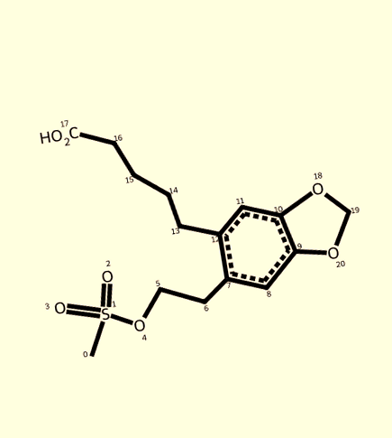 CS(=O)(=O)OCCc1cc2c(cc1CCCCC(=O)O)OCO2